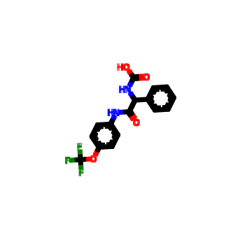 O=C(O)NC(C(=O)Nc1ccc(OC(F)(F)F)cc1)c1ccccc1